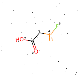 O=C(O)CPF